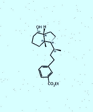 CCOC(=O)c1cccc(CC[C@H](C)[C@H]2CC[C@H]3[C@@H](O)CCC[C@@]23C)c1